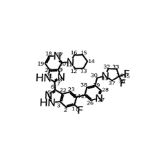 Fc1cc2[nH]nc(-c3nc4c(N5CCCCC5)nccc4[nH]3)c2cc1-c1cncc(CN2CCC(F)(F)C2)c1